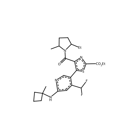 CCOC(=O)c1nc(C(=O)N2C(C)CCC2CC)c(-c2cnc(NC3(C)CCC3)cc2C(F)F)s1